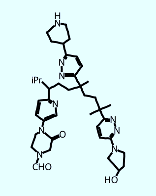 CC(C)C(CCC(C)(CCC(C)(C)c1ccc(N2CCC(O)C2)nn1)c1ccc(C2CCNCC2)nn1)c1ccc(N2CCN(C=O)CC2=O)cn1